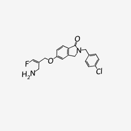 NC/C(=C\F)COc1ccc2c(c1)CN(Cc1ccc(Cl)cc1)C2=O